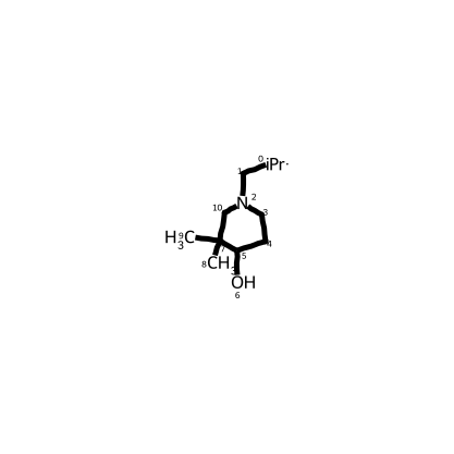 C[C](C)CN1CCC(O)C(C)(C)C1